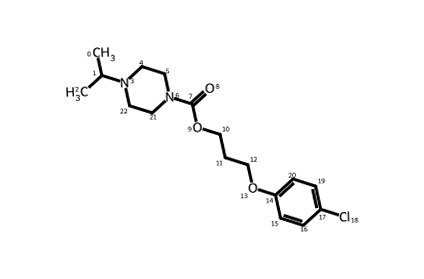 CC(C)N1CCN(C(=O)OCCCOc2ccc(Cl)cc2)CC1